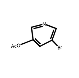 CC(=O)Oc1cncc(Br)c1